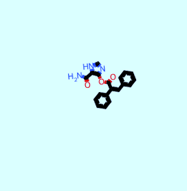 NC(=O)c1[nH]cnc1OC(=O)C(=Cc1ccccc1)c1ccccc1